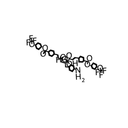 Nc1ccc(CC(CC(=O)/C=C/c2ccc(C(=O)Oc3ccc(OC(F)(F)F)cc3)cc2)C(O)(O)C(=O)/C=C/c2ccc(C(=O)Oc3ccc(OC(F)(F)F)cc3)cc2)cc1